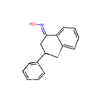 ON=C1CC(c2ccccc2)Cc2ccccc21